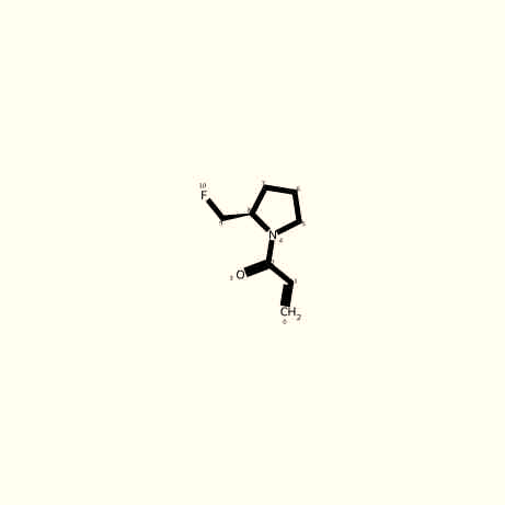 C=CC(=O)N1CCC[C@@H]1CF